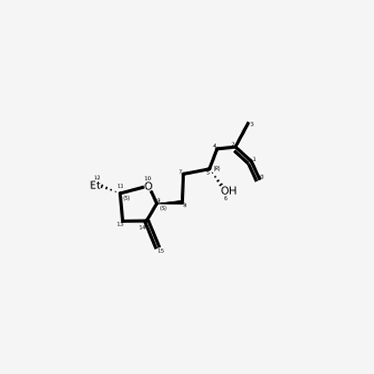 C=C=C(C)C[C@H](O)CC[C@@H]1O[C@@H](CC)CC1=C